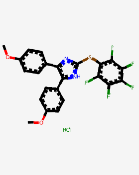 COc1ccc(-c2nc(Sc3c(F)c(F)c(F)c(F)c3F)[nH]c2-c2ccc(OC)cc2)cc1.Cl